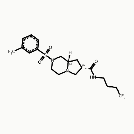 O=C(NCCCC(F)(F)F)[C@H]1C[C@H]2CN(S(=O)(=O)c3cccc(C(F)(F)F)c3)CCN2C1